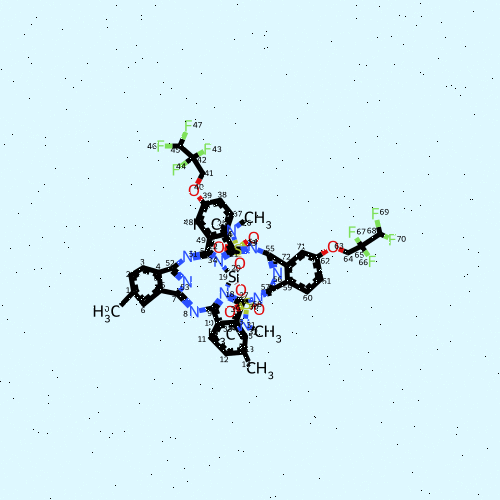 Cc1ccc2c(c1)/C1=N/c3c4ccc(C)cc4c4n3[Si](OS(=O)(=O)N(C)C)(OS(=O)(=O)N(C)C)n3/c(c5ccc(OCC(F)(F)C(F)F)cc5/c3=N/C2=N1)=N\C1=NC(=N\4)/c2ccc(OCC(F)(F)C(F)F)cc21